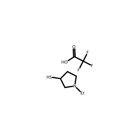 CCN1CCC(S)C1.O=C(O)C(F)(F)F